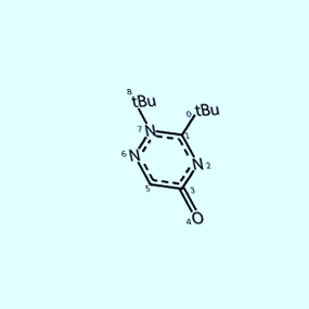 CC(C)(C)c1nc(=O)cnn1C(C)(C)C